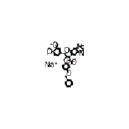 COc1ccc(C(=O)/C(Cc2ccc(OCc3ccccc3)cc2)=C(/C(=O)[O-])c2ccc3nsnc3c2)cc1OC.[Na+]